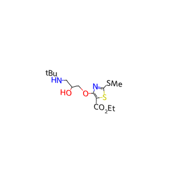 CCOC(=O)c1sc(SC)nc1OCC(O)CNC(C)(C)C